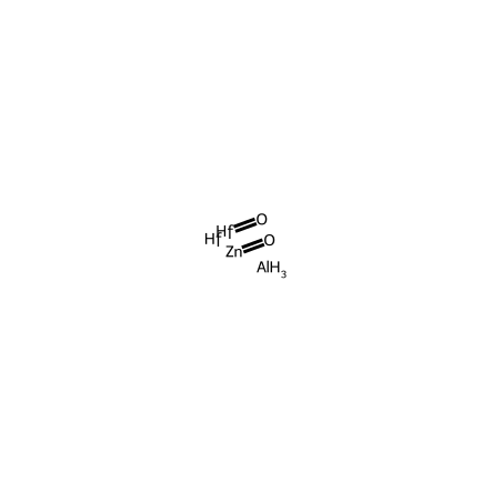 [AlH3].[Hf].[O]=[Hf].[O]=[Zn]